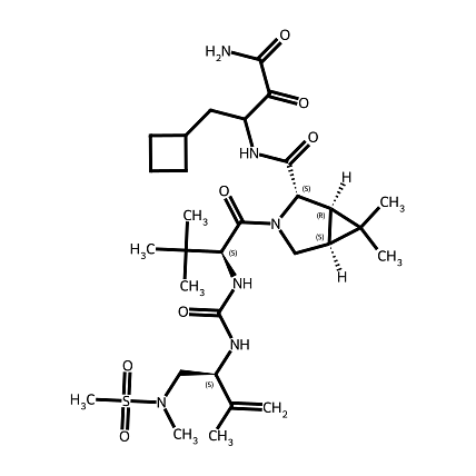 C=C(C)[C@@H](CN(C)S(C)(=O)=O)NC(=O)N[C@H](C(=O)N1C[C@H]2[C@@H]([C@H]1C(=O)NC(CC1CCC1)C(=O)C(N)=O)C2(C)C)C(C)(C)C